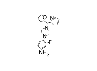 Nc1ccc(N2CCN(C(c3ccccn3)C3CCCO3)CC2)c(F)c1